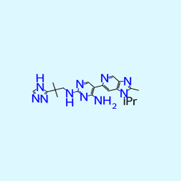 Cc1nc2cnc(-c3cnc(NCC(C)(C)c4nnc[nH]4)nc3N)cc2n1C(C)C